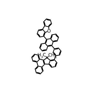 CC1(C)c2c(-c3cccc(-c4c5ccccc5c(-c5cccc6c5oc5ccccc56)c5ccccc45)c3)cccc2-c2c1c1ccccc1c1ccccc21